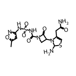 Cc1cc(NS(=O)(=O)NC(=O)N2CC(N3C(CC(N)=O)=CSC3N)C2=O)no1